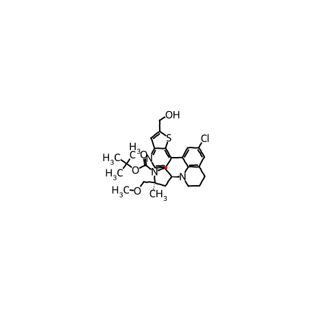 COC[C@]1(C)C[C@H](N2CCCc3cc(Cl)cc(-c4ccnc5cc(CO)sc45)c32)CN1C(=O)OC(C)(C)C